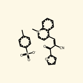 C[n+]1ccc(C=C(C#N)C(=O)c2ccco2)c2ccccc21.Cc1ccc(S(=O)(=O)[O-])cc1